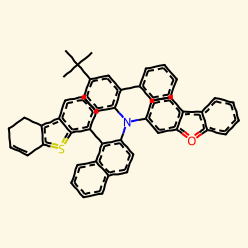 CC(C)(C)c1ccc(N(c2ccc3c(c2)oc2ccccc23)c2ccc3ccccc3c2-c2cccc3c4c(sc23)C=CCC4)c(-c2ccccc2)c1